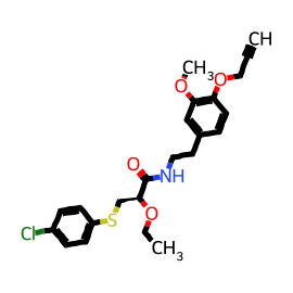 C#CCOc1ccc(CCNC(=O)[C@H](CSc2ccc(Cl)cc2)OCC)cc1OC